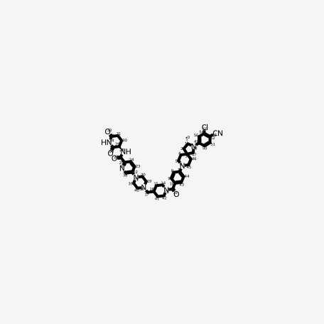 C[C@H]1CC2(CCN(c3ccc(C(=O)N4CCC(CN5CCN(c6ccc(C(=O)N[C@@H]7CCC(=O)NC7=O)nc6)CC5)CC4)cc3)CC2)CN1c1ccc(C#N)c(Cl)c1